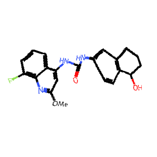 COc1cc(NC(=O)Nc2ccc3c(c2)CCCC3O)c2cccc(F)c2n1